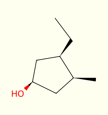 CC[C@@H]1C[C@H](O)C[C@@H]1C